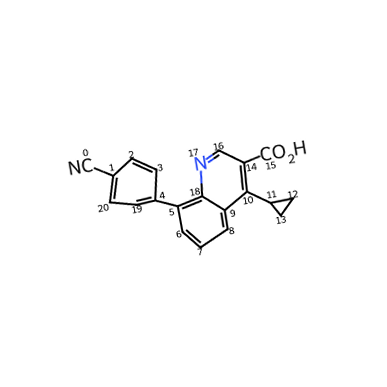 N#Cc1ccc(-c2cccc3c(C4CC4)c(C(=O)O)cnc23)cc1